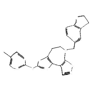 Fc1cnc(Nc2nc3c(s2)CCN(Cc2ccc4c(c2)CCO4)c2[nH]ncc2-3)nc1